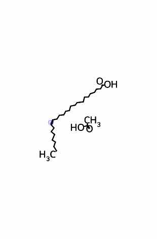 CC(=O)O.CCCCCCCC/C=C\CCCCCCCCCCCCCCCC(=O)O